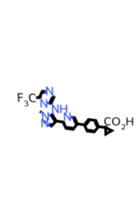 Cn1ncc(-c2ccc(-c3ccc(C4(C(=O)O)CC4)cc3)cn2)c1Nc1cncc(C(F)(F)F)n1